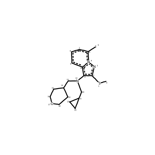 CSc1nn2c(I)cccc2c1N(CC1CCOCC1)CC1CC1